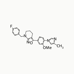 COc1cc(-c2onc3c2CCCN3Cc2ccc(F)cc2)ccc1-n1cnc(C)c1